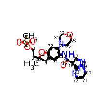 C[C@]1(CCOS(C)(=O)=O)Cc2cc(NC(=O)c3cnn4cccnc34)c(N3CCOCC3)cc2O1